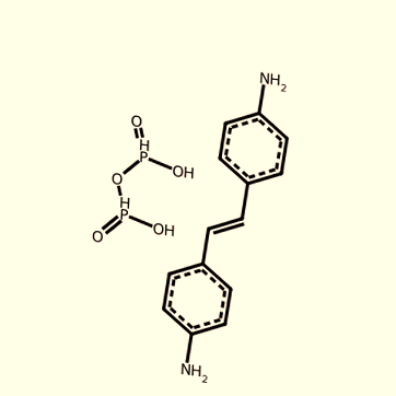 Nc1ccc(C=Cc2ccc(N)cc2)cc1.O=[PH](O)O[PH](=O)O